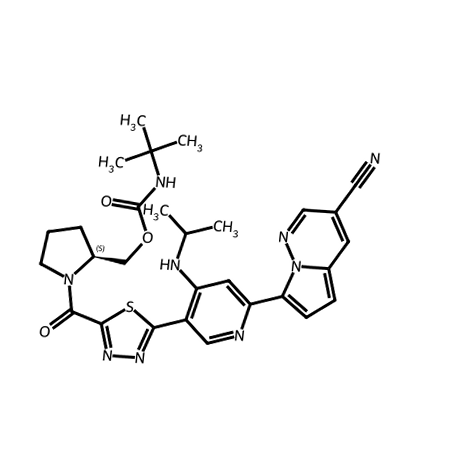 CC(C)Nc1cc(-c2ccc3cc(C#N)cnn23)ncc1-c1nnc(C(=O)N2CCC[C@H]2COC(=O)NC(C)(C)C)s1